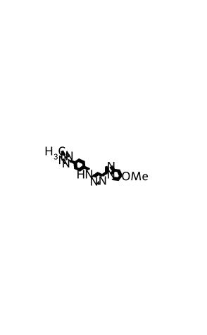 COc1ccn2c(-c3cc(NCc4ccc(-c5nnn(C)n5)cc4)ncn3)cnc2c1